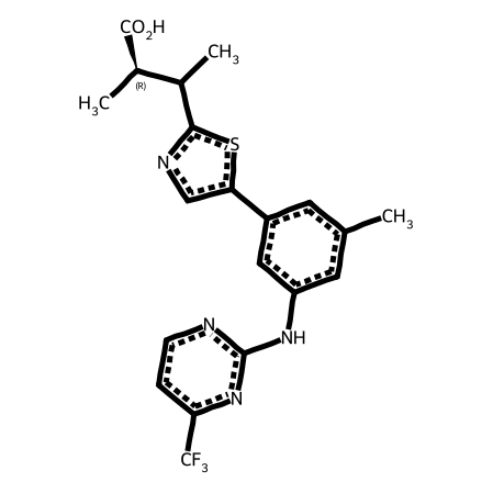 Cc1cc(Nc2nccc(C(F)(F)F)n2)cc(-c2cnc(C(C)[C@@H](C)C(=O)O)s2)c1